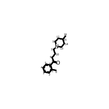 Cc1ccccc1C(=O)CCCN1CCC(C)CC1